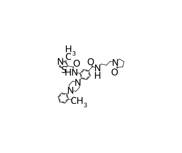 Cc1ccccc1N1CCN(c2ccc(C(=O)NCCCN3CCCC3=O)cc2NC(=O)c2scnc2C)CC1